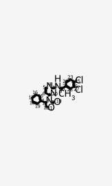 C[C@H](Nc1nccc(N2C(=O)OCC2c2ccccc2)n1)c1ccc(Cl)c(Cl)c1